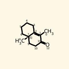 CC1=C2CCCC[C@@]2(C)CCC1=O